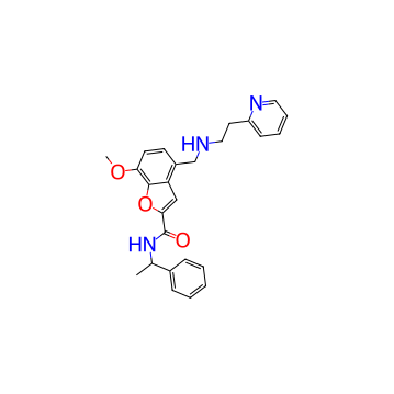 COc1ccc(CNCCc2ccccn2)c2cc(C(=O)NC(C)c3ccccc3)oc12